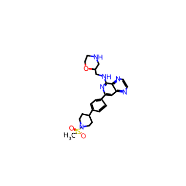 CS(=O)(=O)N1CCC(c2ccc(-c3cc4nccnc4c(NCC4CNCCO4)n3)cc2)CC1